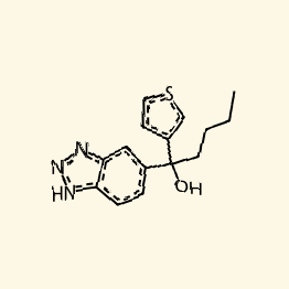 CCCCC(O)(c1ccsc1)c1ccc2[nH]nnc2c1